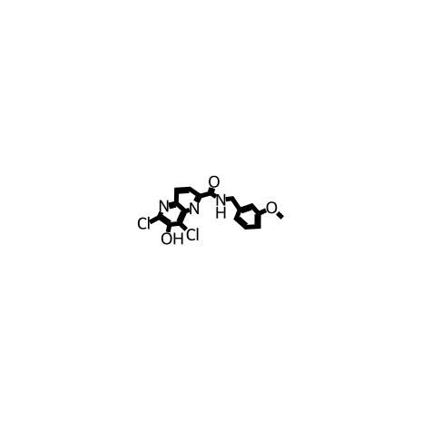 COc1cccc(CNC(=O)c2ccc3nc(Cl)c(O)c(Cl)c3n2)c1